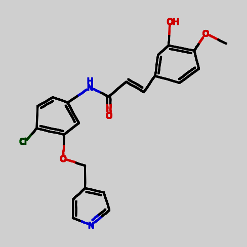 COc1ccc(C=CC(=O)Nc2ccc(Cl)c(OCc3ccncc3)c2)cc1O